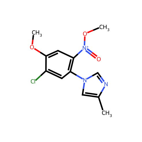 COc1cc([N+](=O)OC)c(-n2cnc(C)c2)cc1Cl